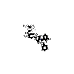 CN1C(=O)/C(=C(/NCc2ccccc2)c2cccc(Cl)c2Cl)C(=N)N=C1N1CCC(C)(NC(=O)OC(C)(C)C)CC1